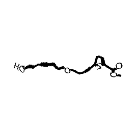 COC(=O)c1ccc(C#CCCOCCCC#CCCO)s1